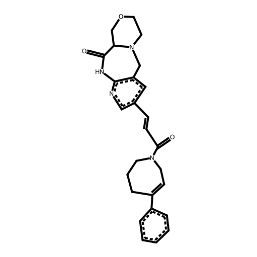 O=C1Nc2ncc(/C=C/C(=O)N3CC=C(c4ccccc4)CCC3)cc2CN2CCOCC12